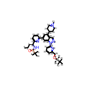 CCC[C@H](N[S+]([O-])C(C)(C)C)c1cccc(-c2cc(C3CCN(C)CC3)c3cnn(-c4cccc(CO[Si](C)(C)C(C)(C)C)n4)c3c2)n1